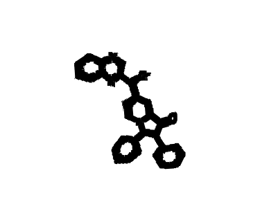 O=C1C2=CC(=C(Br)c3cnc4ccccc4n3)C=CN2C(c2ccccc2)=C1c1ccccc1